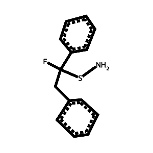 NSC(F)(Cc1ccccc1)c1ccccc1